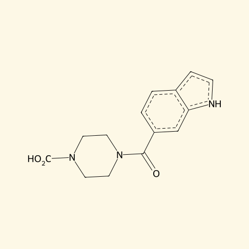 O=C(O)N1CCN(C(=O)c2ccc3cc[nH]c3c2)CC1